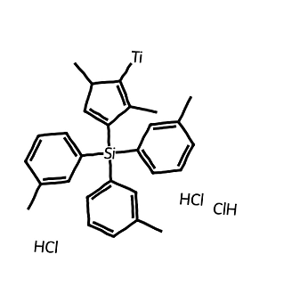 CC1=[C]([Ti])C(C)C=C1[Si](c1cccc(C)c1)(c1cccc(C)c1)c1cccc(C)c1.Cl.Cl.Cl